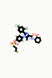 Cc1c(C(=O)N[C@H]2CCCC[C@H]2O)nc(-c2ccc(Cl)cc2Cl)n1-c1ccc(OS(=O)(=O)CCCF)cc1